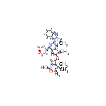 CCc1nc2ccccc2n1-c1nc(N2CCOCC2)c2nc(OC3CN(C(=O)O)C3C(C)(C)C)n(C)c2n1